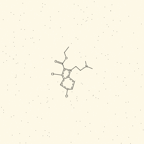 CCOC(=O)c1c(Cl)c2cc(Cl)ccc2n1CCN(C)C